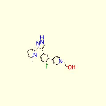 Cc1cccc(-c2n[nH]cc2-c2ccc(F)c(C3=CCN(CCO)C=C3)c2)n1